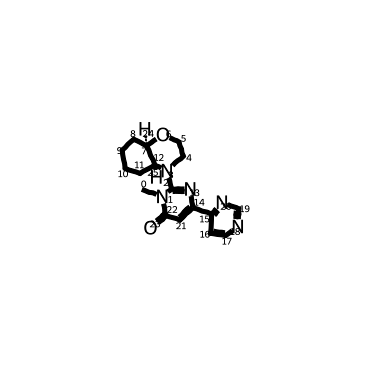 Cn1c(N2CCO[C@@H]3CCCC[C@H]32)nc(-c2ccncn2)cc1=O